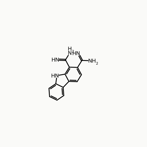 N=C(N)c1ccc2c([nH]c3ccccc32)c1C(=N)N